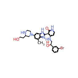 Cc1cc(N2CCNC(CCO)C2)cc2[nH]c(-c3c(NCC(O)c4cccc(Br)c4)cc[nH]c3=O)nc12